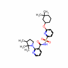 CC1CCN(c2ncccc2C(=O)NS(=O)(=O)c2cccc(OC3CCCC(C)(C)C3)n2)C1(C)C